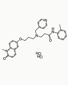 Cc1ccccc1NC(=O)CCN(CCCOc1ccc2c(ccc(=O)n2C)c1)Cc1ccncc1.Cl.Cl